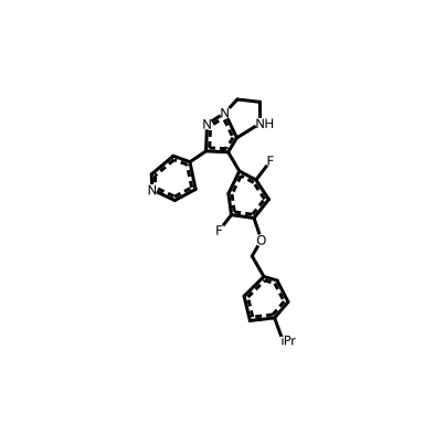 CC(C)c1ccc(COc2cc(F)c(-c3c(-c4ccncc4)nn4c3NCC4)cc2F)cc1